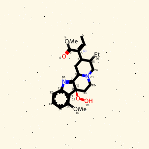 C/C=C(\C(=O)OC)C1CC2C3=Nc4cccc(OC)c4[C@@]3(OO)CCN2CC1CC